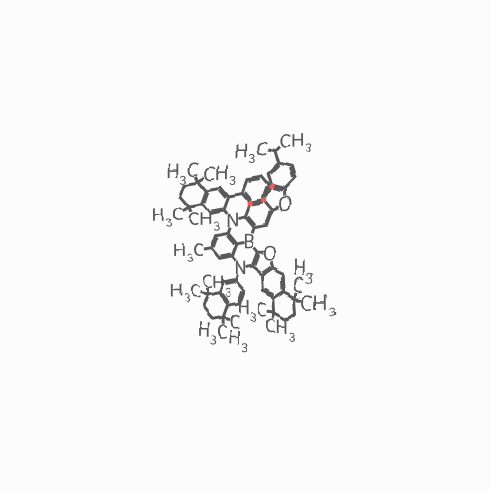 Cc1cc2c3c(c1)N(c1ccc4c(c1)C(C)(C)CCC4(C)C)c1c(oc4cc5c(cc14)C(C)(C)CCC5(C)C)B3c1cc3oc4ccc(C(C)C)cc4c3cc1N2c1cc2c(cc1-c1ccccc1)C(C)(C)CCC2(C)C